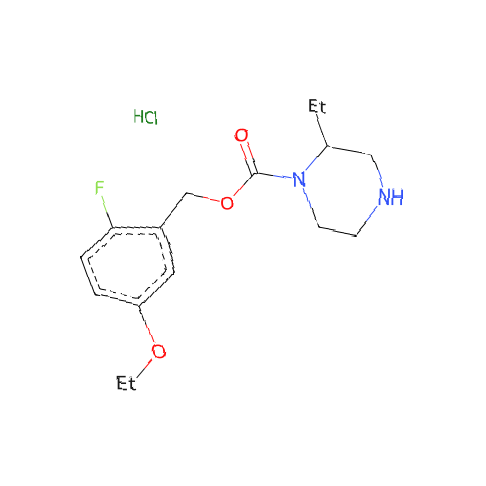 CCOc1ccc(F)c(COC(=O)N2CCNCC2CC)c1.Cl